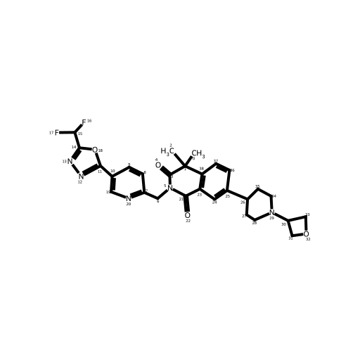 CC1(C)C(=O)N(Cc2ccc(-c3nnc(C(F)F)o3)cn2)C(=O)c2cc(C3CCN(C4COC4)CC3)ccc21